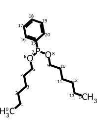 CCCCCCOP(OCCCCCC)c1ccccc1